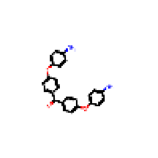 Nc1ccc(Oc2ccc(C(=O)c3ccc(Oc4ccc(N)cc4)cc3)cc2)cc1